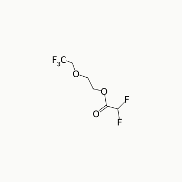 O=C(OCCOCC(F)(F)F)C(F)F